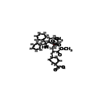 COC(=O)C(Cc1ccc([N+](=O)[O-])cc1)[C@H](NC(c1ccccc1)(c1ccccc1)c1ccccc1)C(=O)OC